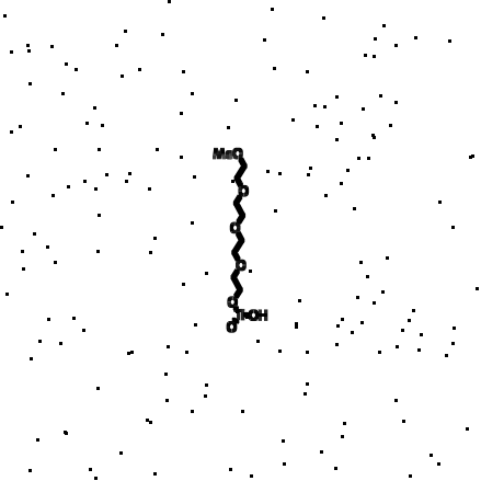 COCCOCCOCCOCC[O][Ti](=[O])[OH]